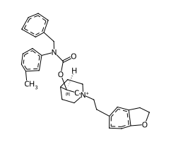 Cc1cccc(N(Cc2ccccc2)C(=O)O[C@H]2C[N+]3(CCc4ccc5c(c4)CCO5)CCC2CC3)c1